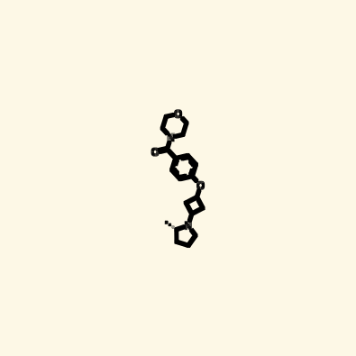 C[C@H]1CCCN1C1CC(Oc2ccc(C(=O)N3CCOCC3)cc2)C1